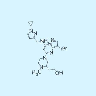 CC(C)c1cnn2c(NCc3ccn(C4CC4)n3)cc(N3CCN(C)C(CCO)C3)nc12